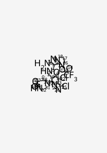 C[C@H](NC(=O)c1c(N)nn2c1N(OC(=O)C(F)(F)F)C=CC2)c1cc(Cl)c2c(Cl)ncn2c1N1CCNS(=O)(=O)CC1